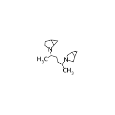 CC(CCC(C)N1CCC2CC21)N1CC2CC2C1